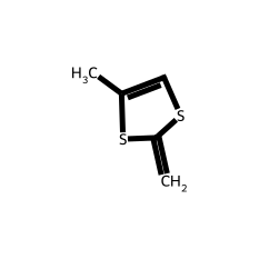 C=C1SC=C(C)S1